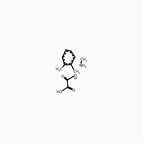 CN.Cc1ccccc1C.O=C(O)C(=O)O